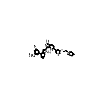 Oc1cc(F)cc(-c2cccc3[nH]c(-c4n[nH]c5ccc(-c6cncc(OCCN7CCCC7)c6)nc45)cc23)c1